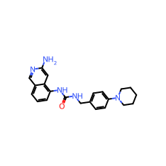 Nc1cc2c(NC(=O)NCc3ccc(N4CCCCC4)cc3)cccc2cn1